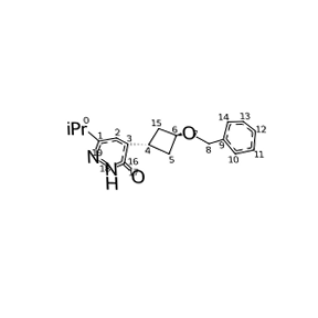 CC(C)c1cc([C@H]2C[C@H](OCc3ccccc3)C2)c(=O)[nH]n1